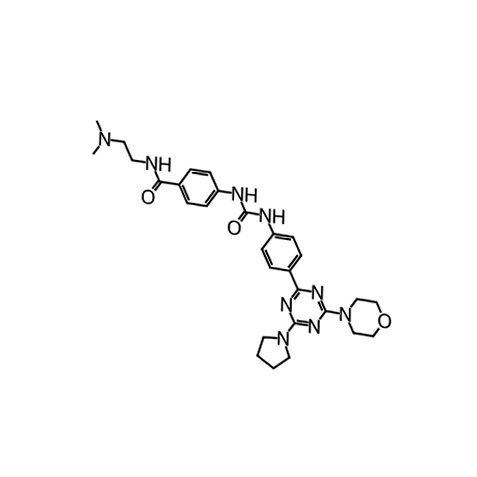 CN(C)CCNC(=O)c1ccc(NC(=O)Nc2ccc(-c3nc(N4CCCC4)nc(N4CCOCC4)n3)cc2)cc1